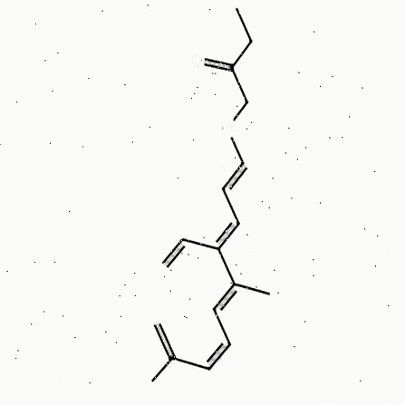 C=CC(=C\C=C\OCC(=O)CC)/C(C)=C/C=C\C(=C)C